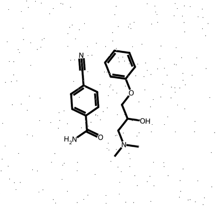 CN(C)CC(O)COc1ccccc1.N#Cc1ccc(C(N)=O)cc1